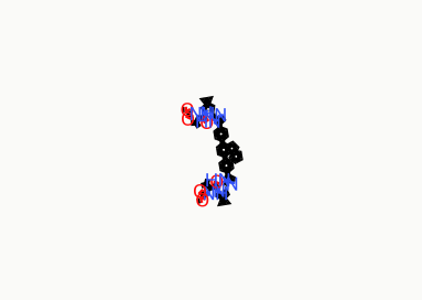 COC(=O)N[C@H](C(=O)N1CC2(CC2)C[C@H]1c1ncc(-c2ccc(-c3ccc(-c4ccc(-c5cnc([C@@H]6CC7(CC7)CN6C(=O)[C@@H](NC(=O)OC)C(C)C)[nH]5)cc4)c4c3CCC43CCCC3)cc2)[nH]1)C(C)C